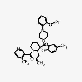 C=CC[C@H]1N(C(=O)c2cnccc2C(F)(F)F)CCC[C@@]1(Oc1ccc(C(F)(F)F)cc1)C(=O)N1CCN(c2ccccc2OC(C)C)CC1